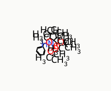 CC(C)(C)OC(=O)N[C@@]1(C(=O)OC(C)(C)C)C(C)(C)C(C)(C)C(C)(C)C1(C)OCc1ccccc1